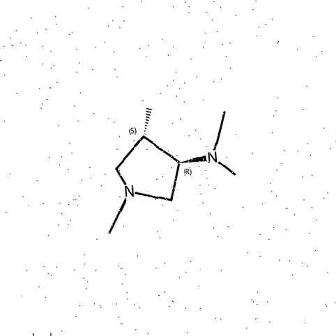 C[C@H]1CN(C)C[C@@H]1N(C)C